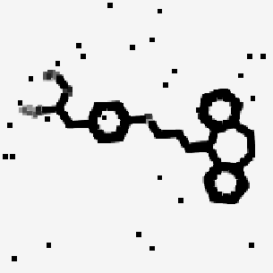 CCCOC(Cc1ccc(OCCC=C2c3ccccc3CCc3ccccc32)cc1)C(=O)O